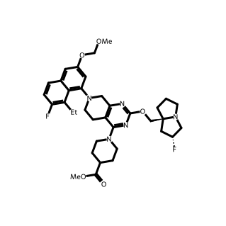 CCc1c(F)ccc2cc(OCOC)cc(N3CCc4c(nc(OC[C@@]56CCCN5C[C@H](F)C6)nc4N4CCC(C(=O)OC)CC4)C3)c12